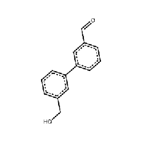 O=Cc1cccc(-c2cccc(CO)c2)c1